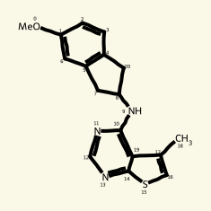 COc1ccc2c(c1)CC(Nc1ncnc3scc(C)c13)C2